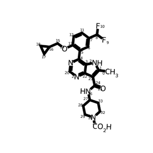 Cc1[nH]c2c(-c3cc(C(F)F)ccc3OCC3CC3)ncnc2c1C(=O)NC1CCN(C(=O)O)CC1